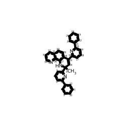 CC1(c2cccc(-c3ccccc3)n2)C=C(c2cccc(-c3ccccc3)n2)c2ccc3cccnc3c2N1